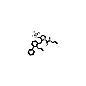 C=CCNC(=O)N1CCC(NS(=O)(=O)CC)C1Cc1cccc(-c2ccccc2)c1CC=C